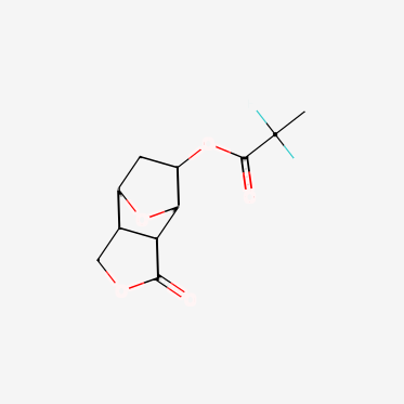 CC(F)(F)C(=O)OC1CC2OC1C1C(=O)OCC21